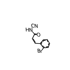 N#CNC(=O)/C=C\c1ccccc1Br